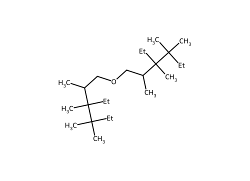 CCC(C)(C)C(C)(CC)C(C)COCC(C)C(C)(CC)C(C)(C)CC